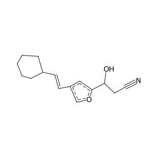 N#CCC(O)c1cc(C=CC2CCCCC2)co1